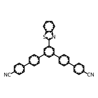 N#Cc1ccc(-c2ccc(-c3cc(-c4ccc(-c5ccc(C#N)cc5)cc4)cc(-c4nc5ccccc5s4)c3)cc2)cc1